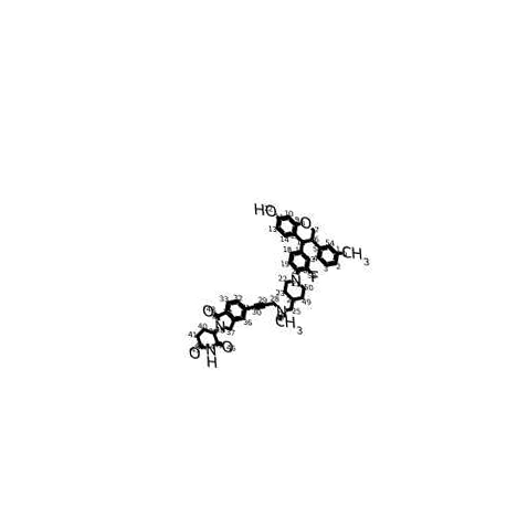 Cc1cccc(C2COc3cc(O)ccc3C2c2ccc(N3CCC(CN(C)CC#Cc4ccc5c(c4)CN(C4CCC(=O)NC4=O)C5=O)CC3)c(F)c2)c1